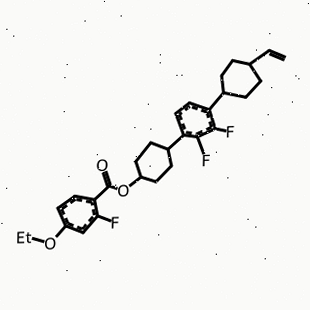 C=CC1CCC(c2ccc(C3CCC(OC(=O)c4ccc(OCC)cc4F)CC3)c(F)c2F)CC1